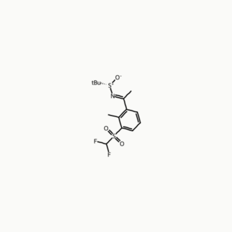 CC(=N[S@@+]([O-])C(C)(C)C)c1cccc(S(=O)(=O)C(F)F)c1C